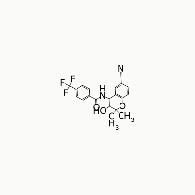 CC1(C)Oc2ccc(C#N)cc2C(NC(=O)c2ccc(C(F)(F)F)cc2)C1O